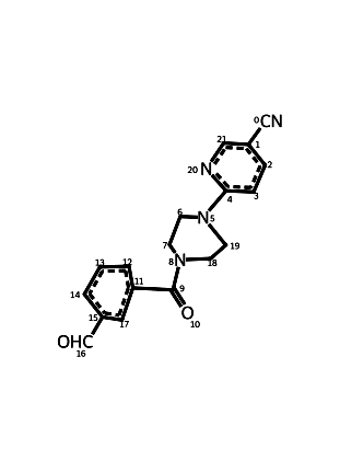 N#Cc1ccc(N2CCN(C(=O)c3cccc(C=O)c3)CC2)nc1